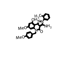 COc1ccc(Cn2c(=O)c3c(N)n(-c4ccccc4C)nc3c3c(O)cc(OC)cc32)cc1